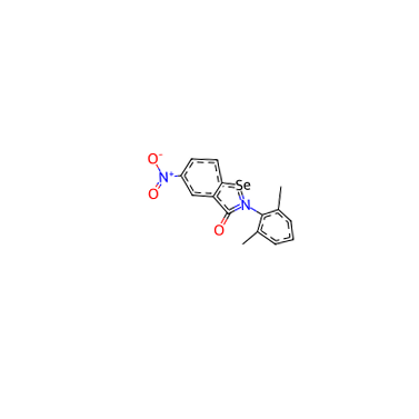 Cc1cccc(C)c1-n1[se]c2ccc([N+](=O)[O-])cc2c1=O